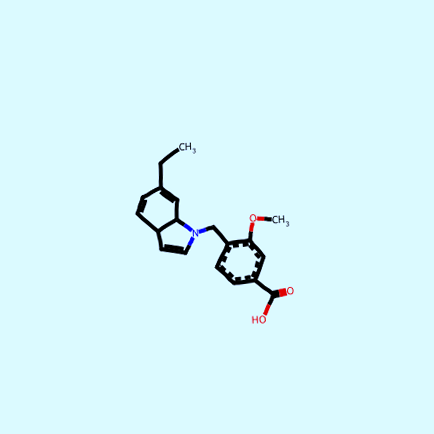 CCC1=CC2C(C=C1)C=CN2Cc1ccc(C(=O)O)cc1OC